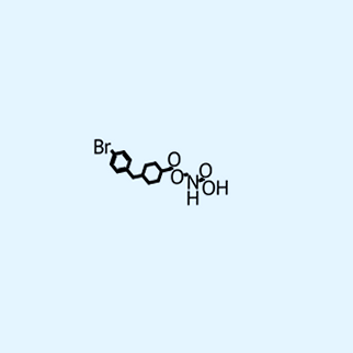 O=C(O)NCOC(=O)C1CCC(Cc2ccc(Br)cc2)CC1